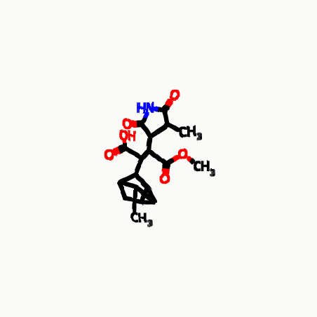 COC(=O)C(C1C(=O)NC(=O)C1C)C(C(=O)O)C1C2CC3C(C2C)C31